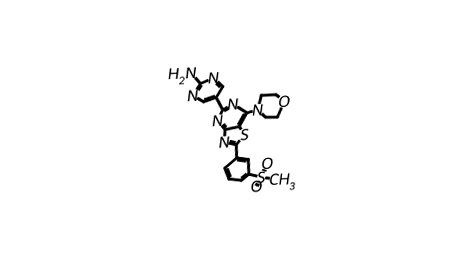 CS(=O)(=O)c1cccc(-c2nc3nc(-c4cnc(N)nc4)nc(N4CCOCC4)c3s2)c1